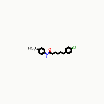 O=C(CCCCCc1ccc(Cl)cc1)Nc1ccc(C(=O)O)cc1